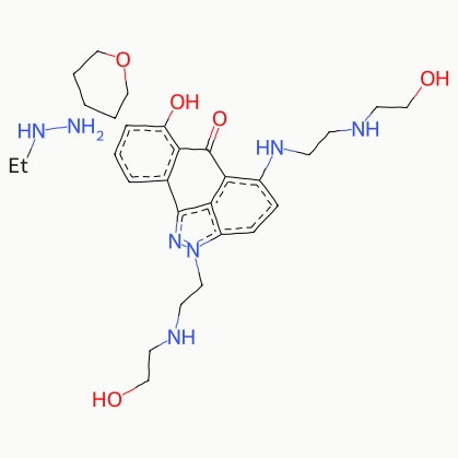 C1CCOCC1.CCNN.O=C1c2c(O)cccc2-c2nn(CCNCCO)c3ccc(NCCNCCO)c1c23